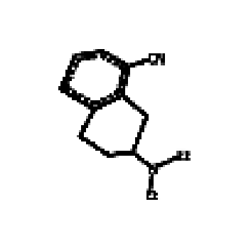 CCN(CC)C1CCc2cccc(C#N)c2C1